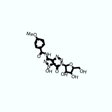 COc1ccc(C(=O)Nc2nn(O)c3c(=O)n(C4OC(CO)C(O)C4O)nnc23)cc1